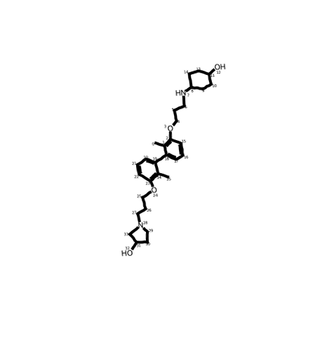 Cc1c(OCCCNC2CCC(O)CC2)cccc1-c1cccc(OCCCN2CCC(O)C2)c1C